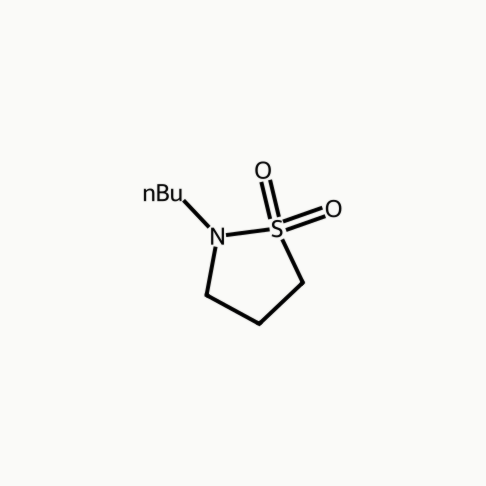 [CH2]CCCN1CCCS1(=O)=O